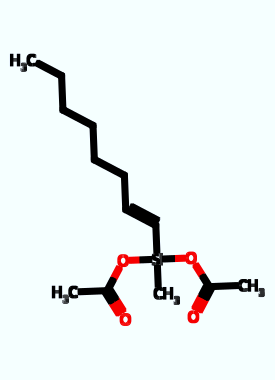 CCCCCCC=C[Si](C)(OC(C)=O)OC(C)=O